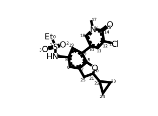 CCS(=O)(=O)Nc1cc2c(c(-c3cc(Cl)c(=O)n(C)c3)c1)OC(C1CC1)C2